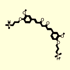 COc1cc(/C=C/C(=O)CC(=O)/C=C/c2ccc(OCCC[PH](C)(C)C)c(OC)c2)ccc1OCCC[PH](C)(C)C